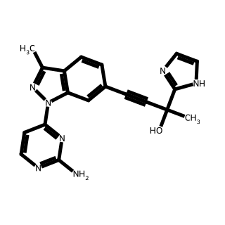 Cc1nn(-c2ccnc(N)n2)c2cc(C#CC(C)(O)c3ncc[nH]3)ccc12